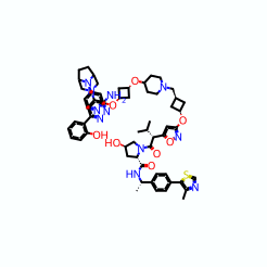 Cc1ncsc1-c1ccc([C@H](C)NC(=O)[C@@H]2C[C@@H](O)CN2C(=O)[C@@H](c2cc(O[C@H]3C[C@H](CN4CCC(O[C@H]5C[C@H](Oc6cc(N7C8CCC7CN(c7cc(-c9ccccc9O)nnc7N)C8)ccn6)C5)CC4)C3)no2)C(C)C)cc1